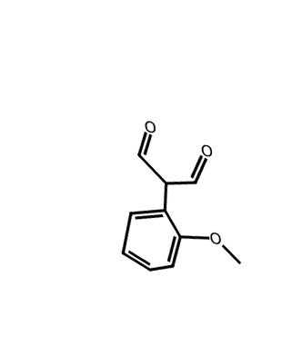 COc1ccccc1C(C=O)C=O